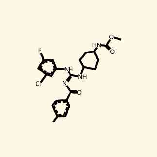 COC(=O)NC1CCC(N/C(=N\C(=O)c2ccc(C)cc2)Nc2cc(F)cc(Cl)c2)CC1